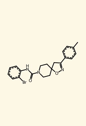 Cc1ccc(C2=NOC3(CCN(C(=O)Nc4ccccc4Br)CC3)C2)cc1